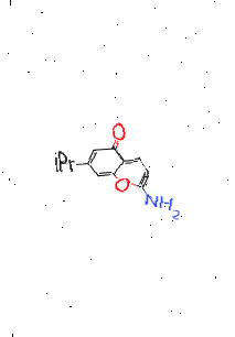 CC(C)c1cc2oc(N)ccc-2c(=O)c1